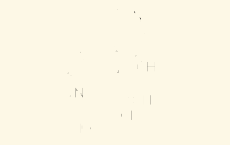 CC(C)=c1nccc(-c2ccncc2)c1=C(C)C